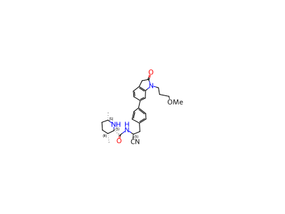 COCCCN1C(=O)Cc2ccc(-c3ccc(C[C@@H](C#N)NC(=O)[C@H]4N[C@@H](C)CC[C@H]4C)cc3)cc21